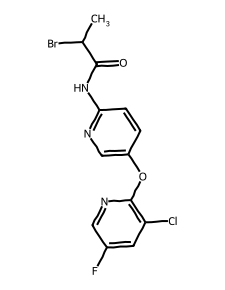 CC(Br)C(=O)Nc1ccc(Oc2ncc(F)cc2Cl)cn1